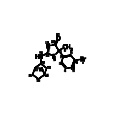 CC1(c2ccnc(Br)c2)SC(NC2CC3CCC2C3)=NC1=O